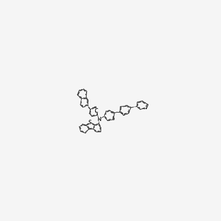 c1ccc(-c2ccc(-c3ccc(N(c4ccc(-c5ccc6ccccc6c5)cc4)c4cccc5c4sc4ccccc45)cc3)cc2)cc1